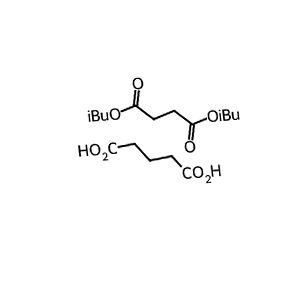 CC(C)COC(=O)CCC(=O)OCC(C)C.O=C(O)CCCC(=O)O